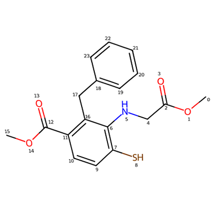 COC(=O)CNc1c(S)ccc(C(=O)OC)c1Cc1ccccc1